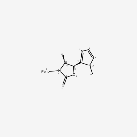 CCCC(C)N1C(=O)O[C@H](c2nccn2C)[C@@H]1C